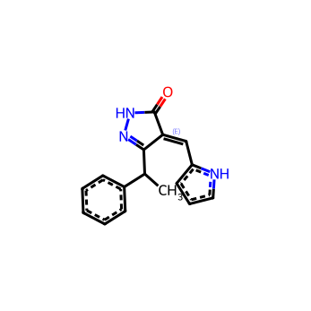 CC(C1=NNC(=O)/C1=C/c1ccc[nH]1)c1ccccc1